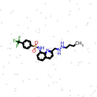 CCCCNNCc1ccc2cccc(NS(=O)(=O)c3ccc(C(F)(F)F)cc3)c2n1